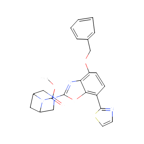 CC(C)(C)OC(=O)N1C2CC1CN(c1nc3c(OCc4ccccc4)ccc(-c4nccs4)c3o1)C2